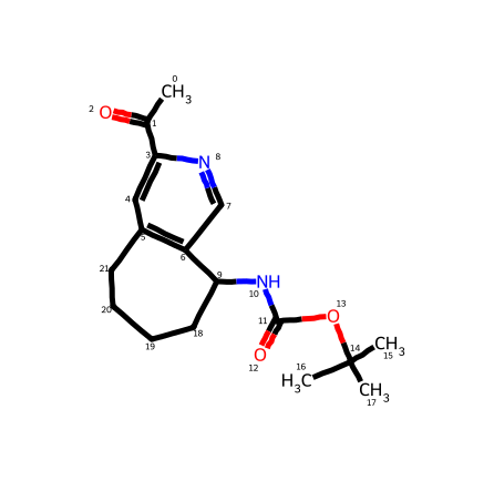 CC(=O)c1cc2c(cn1)C(NC(=O)OC(C)(C)C)CCCC2